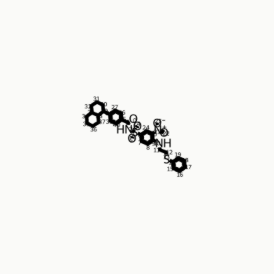 O=C(NS(=O)(=O)c1ccc(NCCSc2ccccc2)c([N+](=O)[O-])c1)c1ccc(C2CCCC3CCCCC32)cc1